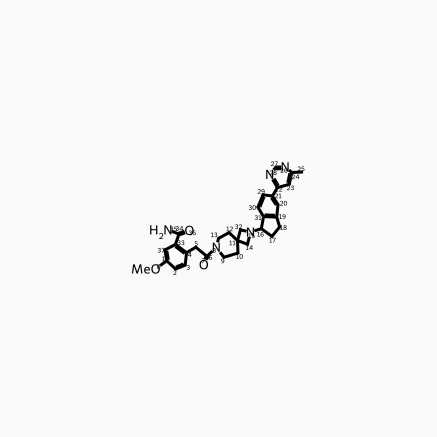 COc1ccc(CC(=O)N2CCC3(CC2)CN(C2CCc4cc(-c5cc(C)ncn5)ccc42)C3)c(C(N)=O)c1